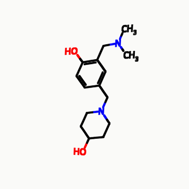 CN(C)Cc1cc(CN2CCC(O)CC2)ccc1O